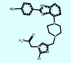 CCc1nc(CN2CCN(c3cccc4[nH]c(-c5ccc(C(C)(C)C)cc5)nc34)CC2)cn1CC(N)=O